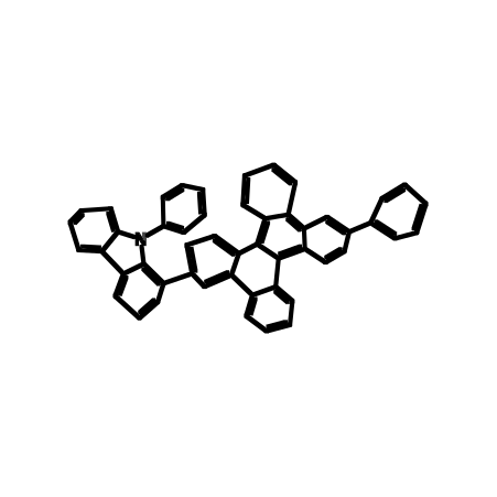 c1ccc(-c2ccc3c(c2)c2ccccc2c2c4ccc(-c5cccc6c7ccccc7n(-c7ccccc7)c56)cc4c4ccccc4c32)cc1